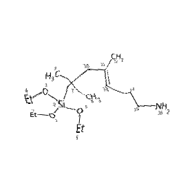 CCO[Si](OCC)(OCC)C(C)(C)CC(C)=CCCN